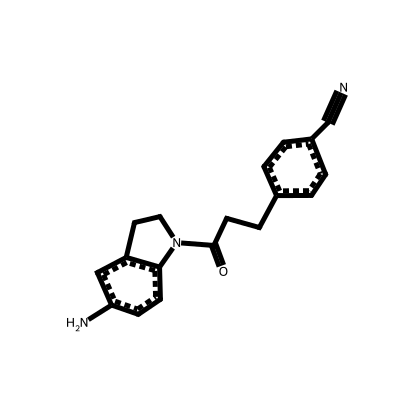 N#Cc1ccc(CCC(=O)N2CCc3cc(N)ccc32)cc1